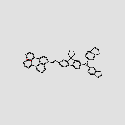 CCC1(CC)c2cc(/C=C/c3ccc(-c4ccccc4)c4c(-c5ccccc5)cccc34)ccc2-c2ccc(N(c3ccc4c(c3)CC=C4)c3ccc4c(c3)CC=C4)cc21